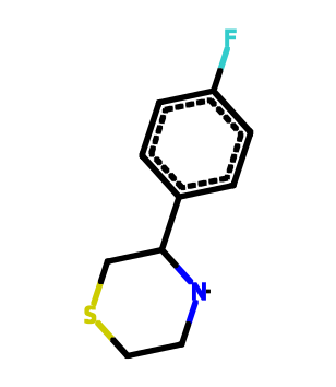 Fc1ccc(C2CSCC[N]2)cc1